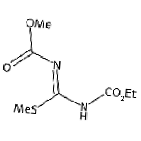 CCOC(=O)NC(=NC(=O)OC)SC